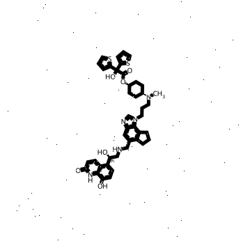 CN(CCCn1cnc2cc(CNC[C@H](O)c3ccc(O)c4[nH]c(=O)ccc34)c3c(c21)CCC3)[C@H]1CC[C@H](OC(=O)C(O)(c2cccs2)c2cccs2)CC1